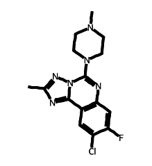 Cc1nc2c3cc(Cl)c(F)cc3nc(N3CCN(C)CC3)n2n1